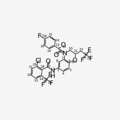 O=C(Nc1ccc2c(c1)N(S(=O)(=O)c1ccc(F)cc1)CC(CC(F)(F)F)O2)c1c(Cl)cccc1C(F)(F)F